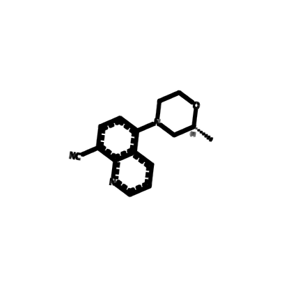 C[C@@H]1CN(c2ccc(C#N)c3ncccc23)CCO1